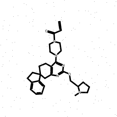 C=CC(=O)N1CCN(c2nc(OCC3CCCN3C)nc3c2CCC2(CCc4ccccc42)C3)CC1